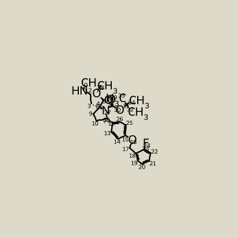 CNCC[C@@]1(C(=O)OC)CC[C@H](c2ccc(OCc3ccccc3F)cc2)N1C(=O)OC(C)(C)C